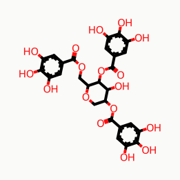 O=C(OCC1OCC(OC(=O)c2cc(O)c(O)c(O)c2)C(O)C1OC(=O)c1cc(O)c(O)c(O)c1)c1cc(O)c(O)c(O)c1